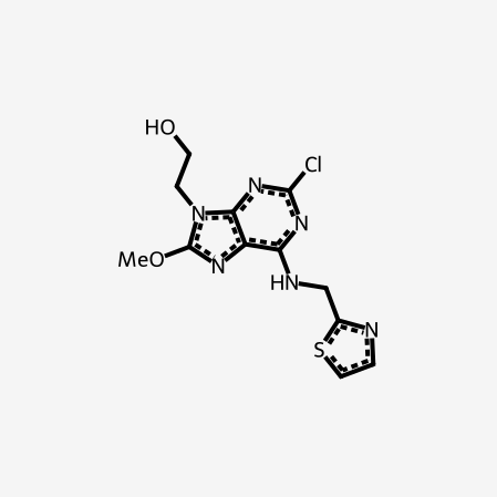 COc1nc2c(NCc3nccs3)nc(Cl)nc2n1CCO